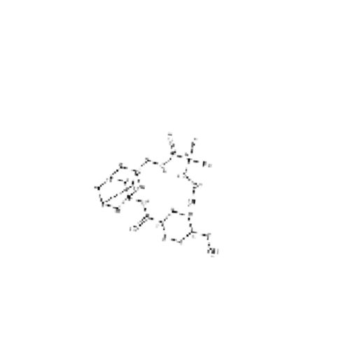 O=C(OC12CC3CC(CC(COC(=O)C(F)(F)SOO)(C3)C1)C2)C1CCC(CO)CC1